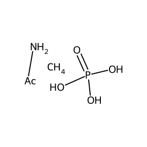 C.CC(N)=O.O=P(O)(O)O